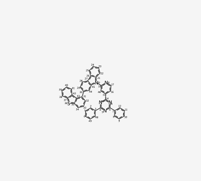 c1ccc(-c2nc(-c3ccccc3)nc(-c3ccnc(-n4c5ccccc5c5ccc(-c6cccc7sc8ccccc8c67)cc54)c3)n2)cc1